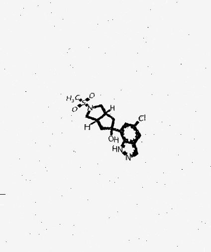 CS(=O)(=O)N1C[C@@H]2CC(O)(c3cc(Cl)cc4cn[nH]c34)C[C@@H]2C1